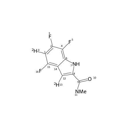 [2H]c1c(F)c(F)c2[nH]c(C(=O)NC)c([2H])c2c1F